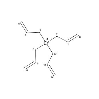 C=C[CH2][Cr]([CH2]C=C)([CH2]C=C)[CH2]C=C